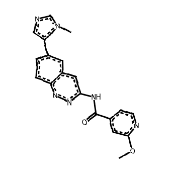 COc1cc(C(=O)Nc2cc3cc(-c4cncn4C)ccc3nn2)ccn1